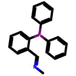 C/N=C/c1ccccc1P(c1ccccc1)c1ccccc1